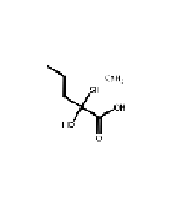 CCCC(O)(S)C(=O)O.[CaH2]